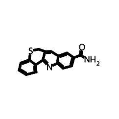 NC(=O)c1ccc2nc3c(cc2c1)CSc1ccccc1-3